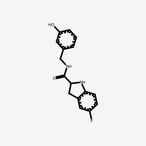 O=C(NCc1cccc(O)c1)C1Cc2cc(F)ccc2N1